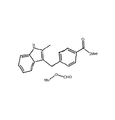 CC(C)(C)OC=O.COC(=O)c1ccc(Cc2c(C)[nH]c3ccccc23)cc1